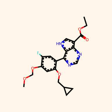 CCOC(=O)c1c[nH]c2c(-c3cc(F)c(OCOC)cc3OCC3CC3)ncnc12